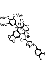 COc1cc([C@@H]2c3cc4c(cc3[C@@H](NC(=O)c3cn(Cc5ccc(F)c(F)c5)nn3)[C@H]3COC(=O)[C@H]23)OCO4)cc(OC)c1OC